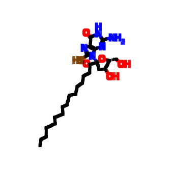 CCCCCCCCCCCCCCCC(=O)[C@]1(n2c(S)nc3c(=O)[nH]c(N)nc32)C[C@H](O)[C@@H](CO)O1